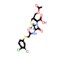 CC(=O)OCC1=C(C(=O)O)N2C(=O)[C@@H](NC(=O)CSc3ccc(Cl)c(Cl)c3)[C@H]2SC1